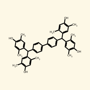 Cc1cc(C(c2ccc(-c3ccc(C(c4cc(C)c(O)cc4C)c4cc(C)c(O)cc4C)cc3)cc2)c2cc(C)c(O)cc2C)c(C)cc1O